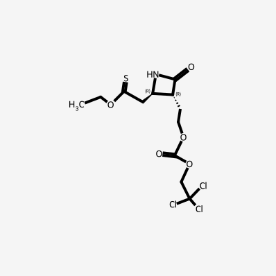 CCOC(=S)C[C@H]1NC(=O)[C@@H]1CCOC(=O)OCC(Cl)(Cl)Cl